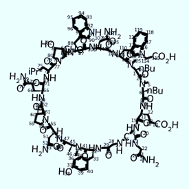 CCCC[C@H]1C(=O)N(C)[C@@H](CCCC)C(=O)N[C@@H](CCC(=O)O)C(=O)N[C@H](C(=O)NCC(N)=O)CNCC(=O)N[C@@H](Cc2ccc(O)cc2)C(=O)N(C)[C@@H](C)C(=O)N[C@@H](CC(N)=O)C(=O)N2CCC[C@H]2C(=O)N[C@@H](CCC(N)=O)C(=O)NC(CC(C)C)C(=O)N2C[C@H](O)CC2(C=O)N[C@@H](Cc2c[nH]c3ccccc23)C(=O)N[C@@H](CC(N)=O)C(=O)N[C@@H](Cc2cn(CC(=O)O)c3ccccc23)C(=O)N1C